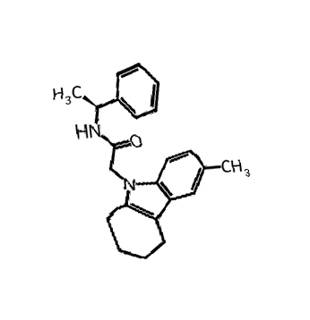 Cc1ccc2c(c1)c1c(n2CC(=O)N[C@@H](C)c2ccccc2)CCCC1